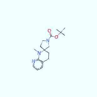 CN1c2ncccc2CCC12CCN(C(=O)OC(C)(C)C)C2